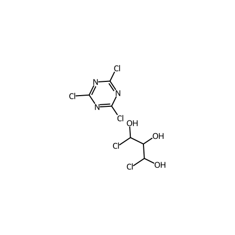 Clc1nc(Cl)nc(Cl)n1.OC(Cl)C(O)C(O)Cl